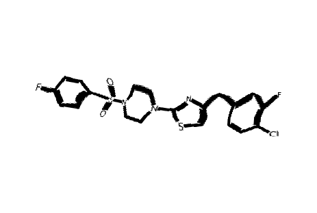 O=S(=O)(c1ccc(F)cc1)N1CCN(c2nc(Cc3ccc(Cl)c(F)c3)cs2)CC1